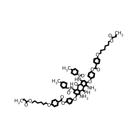 C=CC(=O)OCCCCCCOc1ccc(C(=O)Oc2ccc(Oc3cc(N[S+]([O-])c4ccc(C)cc4)c4c(c3N)C(=P)c3c(N)c(Oc5ccc(OC(=O)c6ccc(OCCCCCCOC(=O)C=C)cc6)cc5)cc(N[S+]([O-])c5ccc(C)cc5)c3C4=O)cc2)cc1